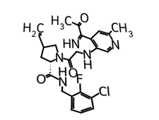 C=CC1C[C@@H](C(=O)NCc2cccc(Cl)c2F)N(C(=O)CNc2cnc(C)cc2C(=N)C(C)=O)C1